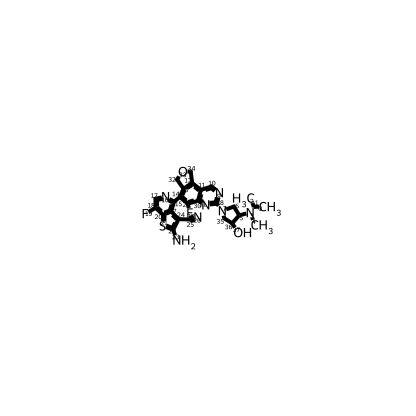 CC(C)N(C)C1CN(c2ncc3c4c(c(-c5ncc(F)c6sc(N)c(C#N)c56)c(F)c3n2)COC4)CC1O